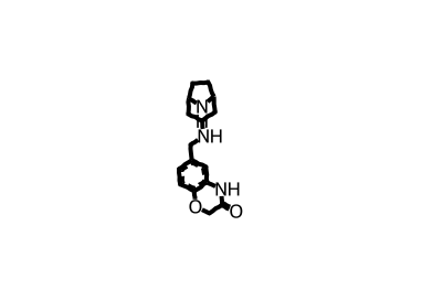 O=C1COc2ccc(CNC3CC4CCC(C3)N4)cc2N1